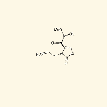 C=CCN1C(=O)OC[C@@H]1C(=O)N(C)OC